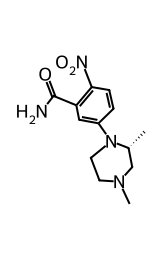 C[C@@H]1CN(C)CCN1c1ccc([N+](=O)[O-])c(C(N)=O)c1